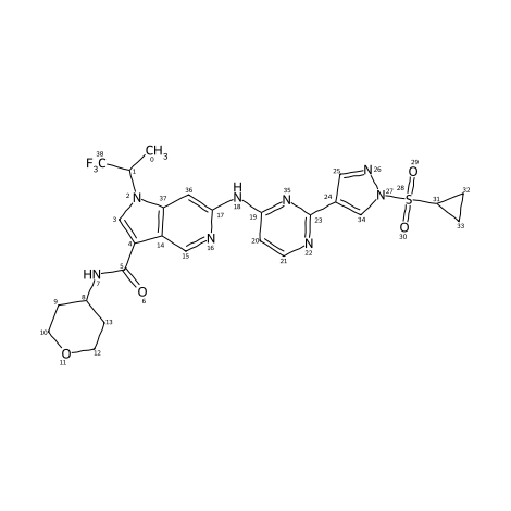 CC(n1cc(C(=O)NC2CCOCC2)c2cnc(Nc3ccnc(-c4cnn(S(=O)(=O)C5CC5)c4)n3)cc21)C(F)(F)F